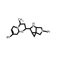 CC(C)C1=CCN(C(C)CC(S)C2NC3CN(C(C)C)CC34CC24)CC1